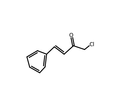 O=C(C=Cc1ccccc1)CCl